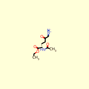 CCOC(=O)[C@H](CCC(=O)C=[N+]=[N-])NC(C)=O